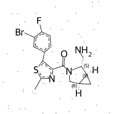 Cc1nc(C(=O)N2C[C@@H]3C[C@@H]3[C@H]2CN)c(-c2ccc(F)c(Br)c2)s1